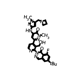 Cn1nc(Nc2cc(-c3ccnc(-n4ncc5cc(C(C)(C)C)cc(F)c5c4=O)c3CO)nn(C)c2=O)cc1CN1CCC1